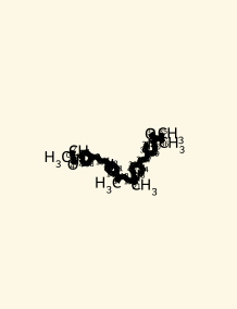 CC(C)C(=O)N1CCC(CCCN2CCC(C(C)CCC(C)N3CCC(CCC4CCN(C(=O)C(C)C)CC4)CC3)CC2)CC1